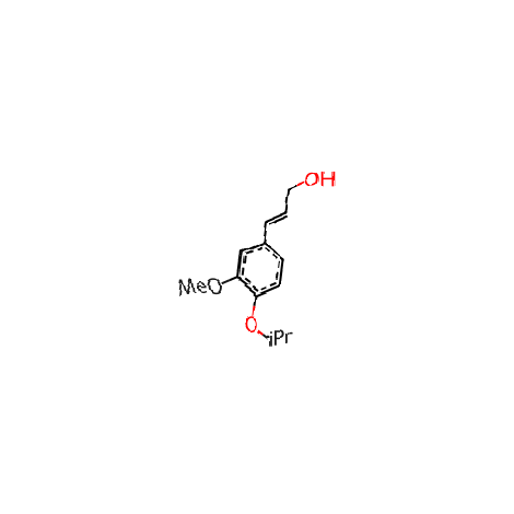 COc1cc(C=CCO)ccc1OC(C)C